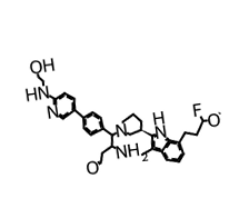 COC(F)CCc1cccc2c(C)c([C@@H]3CCCN(C(c4ccc(-c5ccc(NCCO)nc5)cc4)C(N)CC=O)C3)[nH]c12